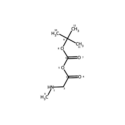 CNCC(=O)OC(=O)OC(C)(C)C